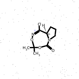 CC1(C)O/N=C(/Cl)[C@H]2CCCN2C(=O)O1